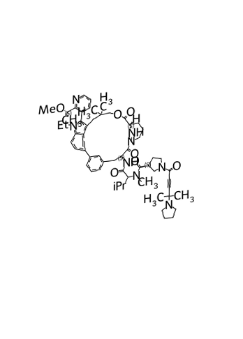 CCn1c(-c2cccnc2[C@H](C)OC)c2c3cc(ccc31)-c1cccc(c1)C[C@H](NC(=O)C(C(C)C)N(C)C(=O)[C@H]1CCN(C(=O)C#CC(C)(C)N3CCCC3)C1)C(=O)N1CCC[C@H](N1)C(=O)OCC(C)(C)C2